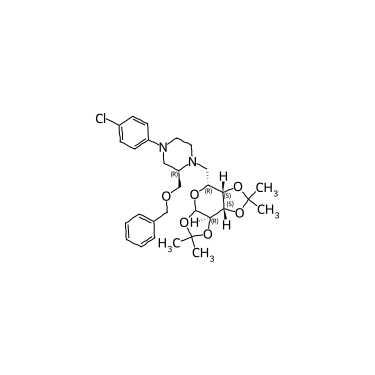 CC1(C)O[C@@H]2[C@H](O1)[C@H]1OC(C)(C)OC1O[C@@H]2CN1CCN(c2ccc(Cl)cc2)C[C@@H]1COCc1ccccc1